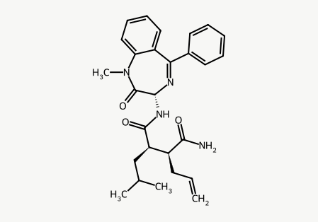 C=CC[C@H](C(N)=O)[C@@H](CC(C)C)C(=O)N[C@H]1N=C(c2ccccc2)c2ccccc2N(C)C1=O